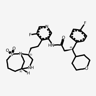 O=C([CH][C@@H](c1ccc(F)cc1)C1CCOCC1)Nc1cncc(F)c1CC[C@H]1CN[C@@H]2CCCS(=O)(=O)N1C2